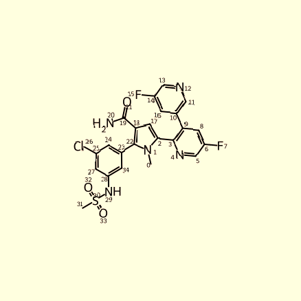 Cn1c(-c2ncc(F)cc2-c2cncc(F)c2)cc(C(N)=O)c1-c1cc(Cl)cc(NS(C)(=O)=O)c1